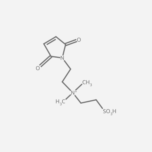 C[N+](C)(CCN1C(=O)C=CC1=O)CCS(=O)(=O)O